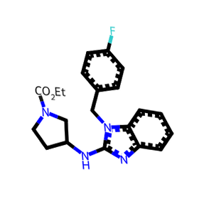 CCOC(=O)N1CCC(Nc2nc3ccccc3n2Cc2ccc(F)cc2)C1